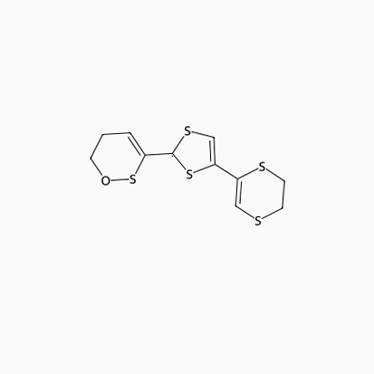 C1=C([C]2SC=C(C3=CSCCS3)S2)SOCC1